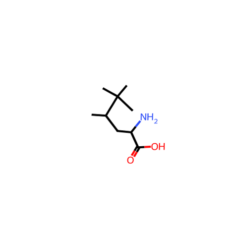 CC(CC(N)C(=O)O)C(C)(C)C